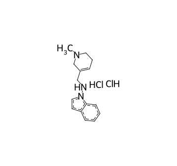 CN1CCC=C(CNn2ccc3ccccc32)C1.Cl.Cl